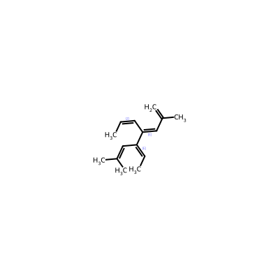 C=C(C)/C=C(\C=C/C)C(/C=C(C)C)=C/C